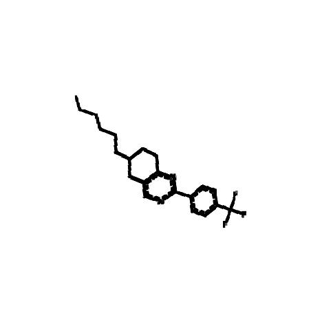 CCCCCCC1CCc2nc(-c3ccc(C(F)(F)F)cc3)ncc2C1